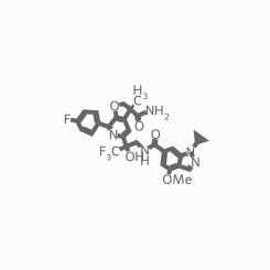 COc1cc(C(=O)NCC(O)(c2cc3c(c(-c4ccc(F)cc4)n2)OC[C@]3(C)C(N)=O)C(F)(F)F)cc2c1cnn2C1CC1